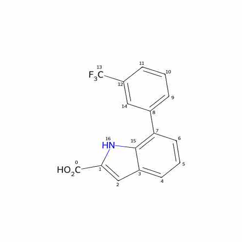 O=C(O)c1cc2cccc(-c3cccc(C(F)(F)F)c3)c2[nH]1